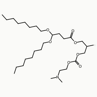 [CH2]C(COC(=O)CCC(OCCCCCCCC)OCCCCCCCC)COC(=O)OCCN(C)C